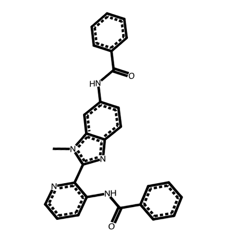 Cn1c(-c2ncccc2NC(=O)c2ccccc2)nc2ccc(NC(=O)c3ccccc3)cc21